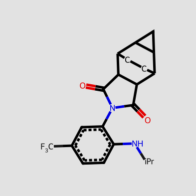 CC(C)Nc1ccc(C(F)(F)F)cc1N1C(=O)C2C3CCC(C4CC43)C2C1=O